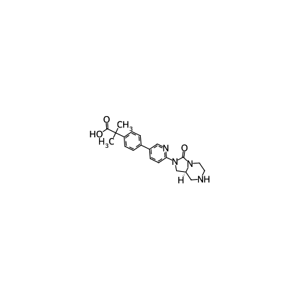 CC(C)(C(=O)O)c1ccc(-c2ccc(N3C[C@@H]4CNCCN4C3=O)nc2)cc1